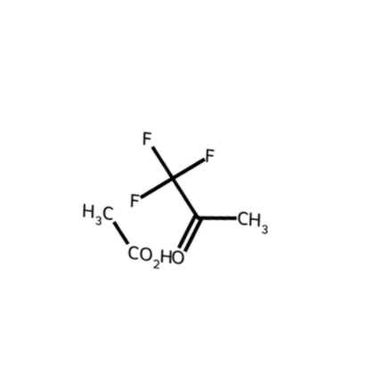 CC(=O)C(F)(F)F.CC(=O)O